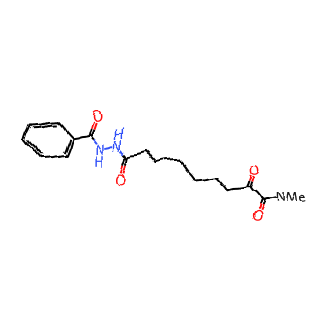 CNC(=O)C(=O)CCCCCCC(=O)NNC(=O)c1ccccc1